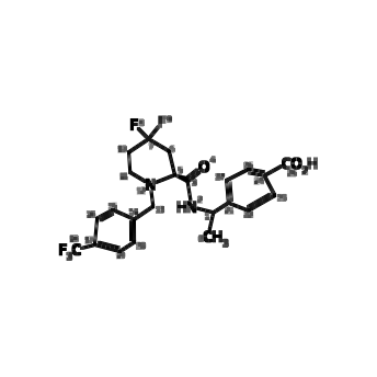 CC(NC(=O)[C@@H]1CC(F)(F)CCN1Cc1ccc(C(F)(F)F)cc1)c1ccc(C(=O)O)cc1